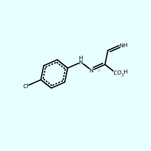 N=C/C(=N\Nc1ccc(Cl)cc1)C(=O)O